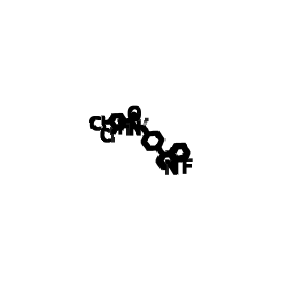 C[C@@H](NC(=O)c1ccc(Cl)c(Cl)c1)C1CCC(c2ccnc3c(F)cccc23)CC1